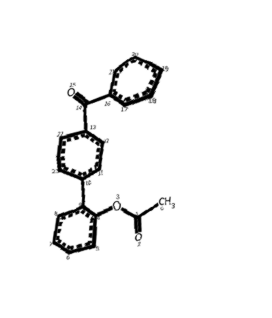 CC(=O)Oc1ccccc1-c1ccc(C(=O)c2ccccc2)cc1